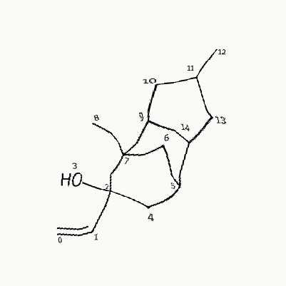 C=CC1(O)CC2CC1(C)C1CC(C)CC21